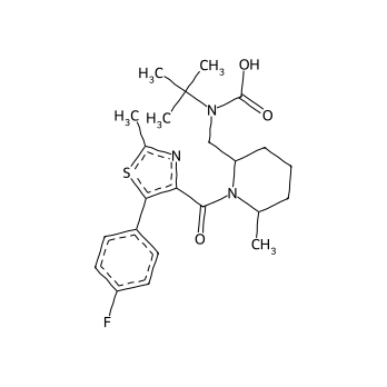 Cc1nc(C(=O)N2C(C)CCCC2CN(C(=O)O)C(C)(C)C)c(-c2ccc(F)cc2)s1